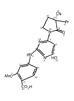 COc1cc(Nc2nccc(N3CC[C@@](C#N)(C(C)C)C3=O)n2)ccc1C(=O)O.Cl